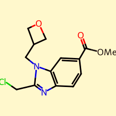 COC(=O)c1ccc2nc(CCl)n(CC3COC3)c2c1